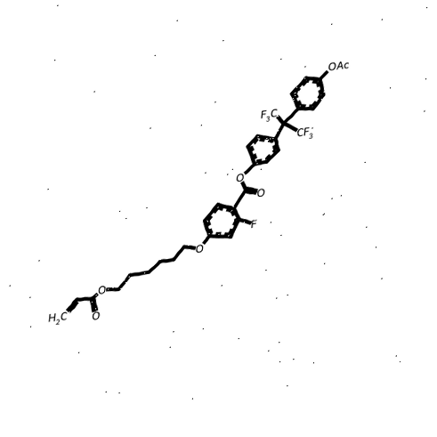 C=CC(=O)OCCCCCCOc1ccc(C(=O)Oc2ccc(C(c3ccc(OC(C)=O)cc3)(C(F)(F)F)C(F)(F)F)cc2)c(F)c1